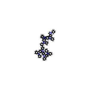 c1ccc(N2CCc3c2cc2c4ccccc4n4c5cc6c7c8c9ccccc9n(-c9cccc(-c%10ccc%11c(c%10)c%10cc%12c%13ccccc%13n(-c%13ccccc%13)c%12c%12c%13cc%14c(cc%13n%11c%10%12)c%10c%11c(cc%12c%13ccccc%13n%14c%12%10)c%10ccccc%10n%11-c%10ccccc%10)c9)c8cc8c9ccccc9n(c6cc5c3c24)c87)cc1